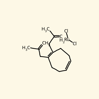 C=C(C)CC1=C(CC(=C)C)CCC=CCC1.[Cl][Ru][Cl]